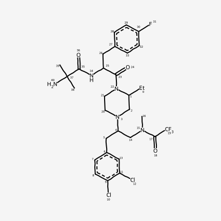 CCC1CN(C(Cc2ccc(Cl)c(Cl)c2)CN(C)C(=O)C(F)(F)F)CCN1C(=O)C(Cc1ccc(F)cc1)NC(=O)C(C)(C)N